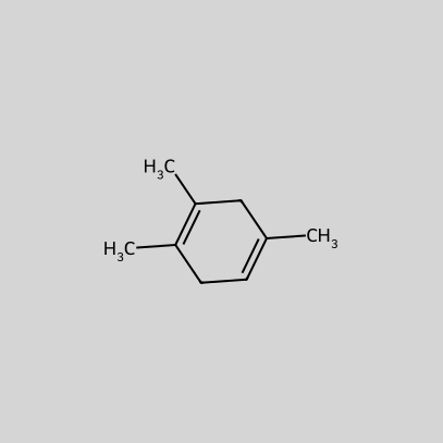 CC1=CCC(C)=C(C)C1